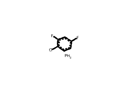 Fc1ccc(Cl)c(F)c1.P